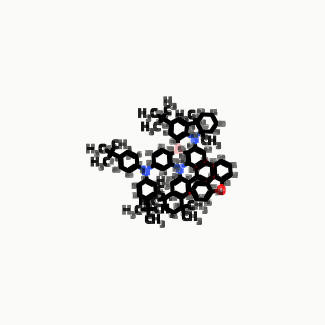 CC(C)(C)c1ccc(N(c2ccc(C(C)(C)C)cc2)c2ccc3c(c2)N(c2cc4c(cc2-c2ccccc2)C(C)(C)CCC4(C)C)c2cc(-c4cccc5oc6ccccc6c45)cc4c2B3c2cc(C(C)(C)C)cc3c2N4C2(C)CCCCC32C)cc1